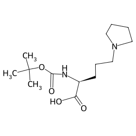 CC(C)(C)OC(=O)N[C@@H](CCCN1CCCC1)C(=O)O